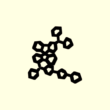 c1ccc(-c2ccc(-c3ccc(N(c4ccccc4)c4cccc5c4-c4ccccc4C54c5ccccc5-c5cc(N(c6ccccc6)c6ccccc6)ccc54)cc3)cc2)cc1